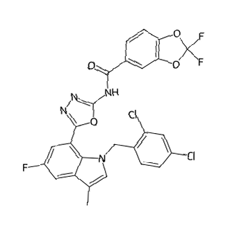 Cc1cn(Cc2ccc(Cl)cc2Cl)c2c(-c3nnc(NC(=O)c4ccc5c(c4)OC(F)(F)O5)o3)cc(F)cc12